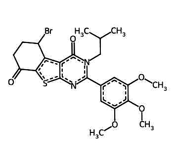 COc1cc(-c2nc3sc4c(c3c(=O)n2CC(C)C)C(Br)CCC4=O)cc(OC)c1OC